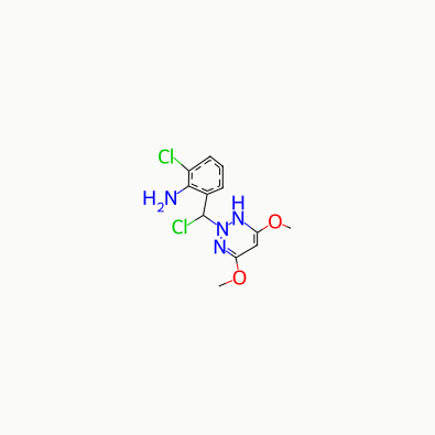 COC1=CC(OC)=NN(C(Cl)c2cccc(Cl)c2N)N1